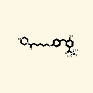 O=C(CCCCCOc1ccc(Cc2cc(C(=O)P(=O)(O)O)ccc2O)cc1)N1CCNCC1